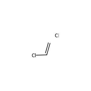 C=CCl.[C]